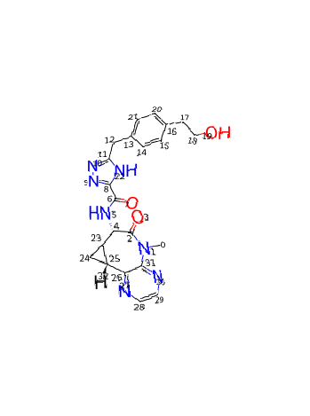 CN1C(=O)[C@@H](NC(=O)c2nnc(Cc3ccc(CCO)cc3)[nH]2)C2C[C@H]2c2nccnc21